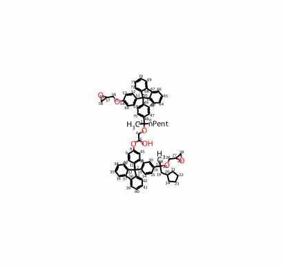 CCCCCC(C)(OCC(O)Oc1ccc(C2(c3ccc(C(C)(CC4CCCC4)OCC4CO4)cc3)c3ccccc3-c3ccccc32)cc1)c1ccc(C2(c3ccc(OCC4CO4)cc3)c3ccccc3-c3ccccc32)cc1